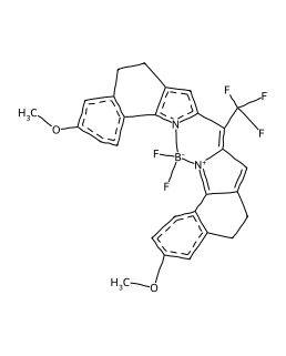 COc1ccc2c(c1)CCC1=CC3=C(C(F)(F)F)c4cc5c(n4[B-](F)(F)[N+]3=C12)-c1ccc(OC)cc1CC5